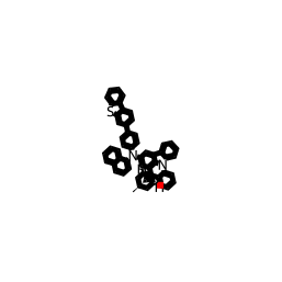 C[C@@H]1C[C@H]2CCC[C@@H](C1)C21c2ccccc2-n2c3ccccc3c3cc(N(c4ccc(-c5ccc6c(c5)sc5ccccc56)cc4)c4cccc5ccccc45)cc1c32